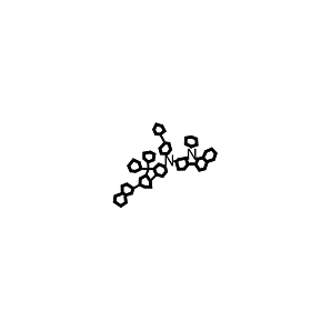 c1ccc(-c2ccc(N(c3ccc4c(c3)C(c3ccccc3)(c3ccccc3)c3cc(-c5ccc6ccccc6c5)ccc3-4)c3ccc4c5ccc6ccccc6c5n(-c5ccccc5)c4c3)cc2)cc1